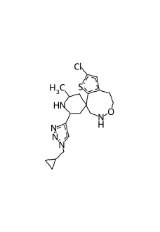 CC1CC2(CNOCCc3cc(Cl)sc32)CC(c2cn(CC3CC3)nn2)N1